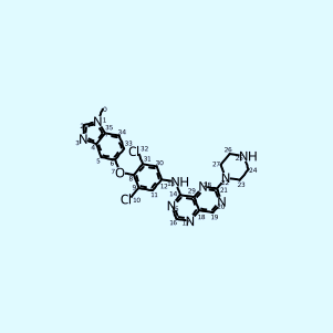 Cn1cnc2cc(Oc3c(Cl)cc(Nc4ncnc5cnc(N6CCNCC6)nc45)cc3Cl)ccc21